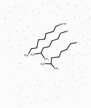 CC(C)CCCCC[S-].CC(C)CCCCC[S-].CCCCCCC[CH2][SnH+2]